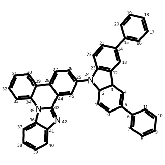 C1=CC2C(C=C1c1ccccc1)c1cc(-c3ccccc3)ccc1N2c1ccc2c3ccccc3n3c4ccccc4nc3c2c1